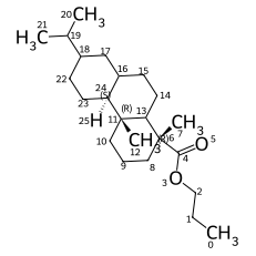 CCCOC(=O)[C@]1(C)CCC[C@@]2(C)C1CCC1CC(C(C)C)CC[C@@H]12